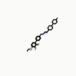 CCOc1ccc(-c2ccc(CC/C=C/C3CCC(C4CCC(C)CC4)CC3)cc2)c(F)c1F